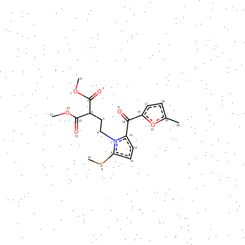 COC(=O)C(CCn1c(SC)ccc1C(=O)c1ccc(C)o1)C(=O)OC